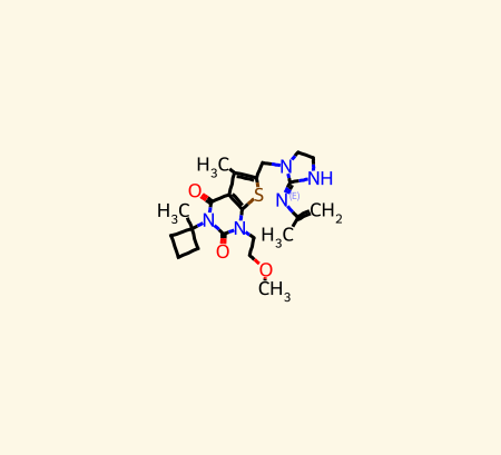 C=C(C)/N=C1\NCCN1Cc1sc2c(c1C)c(=O)n(C1(C)CCC1)c(=O)n2CCOC